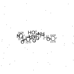 O=C(NC(=O)[C@H](CO)NCCCCOC1CCCCC1)c1ccc(C(=O)c2cccnc2)cc1